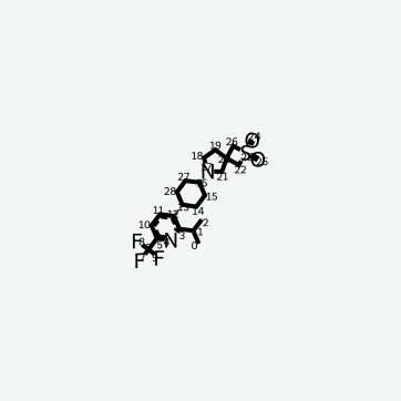 CC(C)c1nc(C(F)(F)F)ccc1[C@H]1CC[C@@H](N2CCC3(C2)CS(=O)(=O)C3)CC1